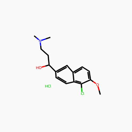 COc1ccc2cc(C(O)CCN(C)C)ccc2c1Cl.Cl